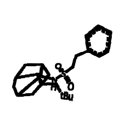 CC(C)(C)CC12CC3CC(C1)C(NS(=O)(=O)CCc1ccccc1)C(C3)C2